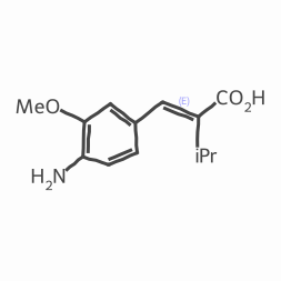 COc1cc(/C=C(/C(=O)O)C(C)C)ccc1N